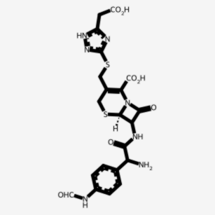 NC(C(=O)NC1C(=O)N2C(C(=O)O)=C(CSc3n[nH]c(CC(=O)O)n3)CS[C@H]12)c1ccc(NC=O)cc1